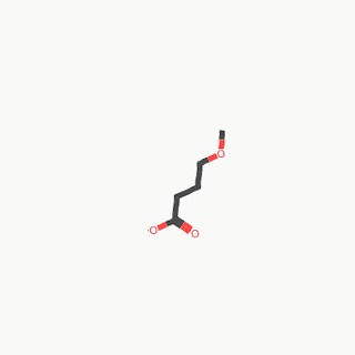 COCCCC([O])=O